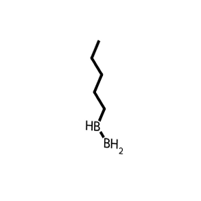 BBCCCCC